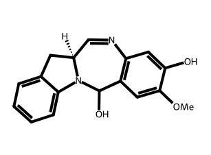 COc1cc2c(cc1O)N=C[C@@H]1Cc3ccccc3N1C2O